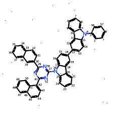 c1ccc(-n2c3ccccc3c3cc(-c4ccc5c(c4)c4ccccc4n5-c4nc(-c5ccc6ccccc6c5)nc(-c5cccc6ccccc56)n4)ccc32)cc1